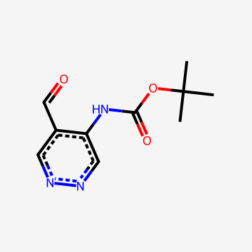 CC(C)(C)OC(=O)Nc1cnncc1C=O